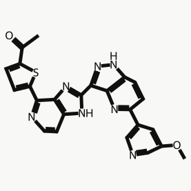 COc1cncc(-c2ccc3[nH]nc(-c4nc5c(-c6ccc(C(C)=O)s6)nccc5[nH]4)c3n2)c1